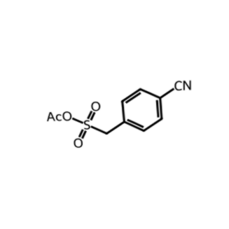 CC(=O)OS(=O)(=O)Cc1ccc(C#N)cc1